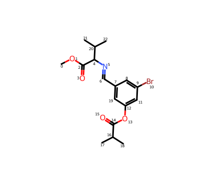 COC(=O)C(N=Cc1cc(Br)cc(OC(=O)C(C)C)c1)C(C)C